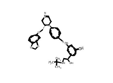 CC(C)(C)NCC(O)c1cc(O)cc(O)c1.Fc1ccc([C@@H]2CCNC[C@H]2COc2ccc3c(c2)OCO3)cc1